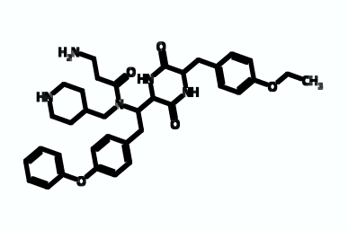 CCOc1ccc(CC2NC(=O)C(C(Cc3ccc(Oc4ccccc4)cc3)N(CC3CCNCC3)C(=O)CCN)NC2=O)cc1